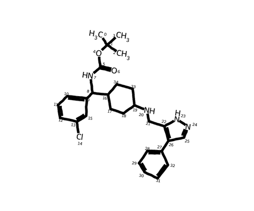 CC(C)(C)OC(=O)NC(c1cccc(Cl)c1)C1CCC(NCc2[nH]ncc2-c2ccccc2)CC1